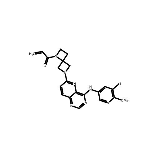 C=CC(=O)N1CCC12CN(c1ccc3ncnc(Nc4cnc(OC)c(Cl)c4)c3n1)C2